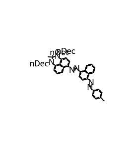 CCCCCCCCCCN1c2cccc3c(/N=N/c4ccc(/N=N/c5ccc(C)cc5)c5ccccc45)ccc(c23)N(CCCCCCCCCC)C1(C)CCCCCCCC